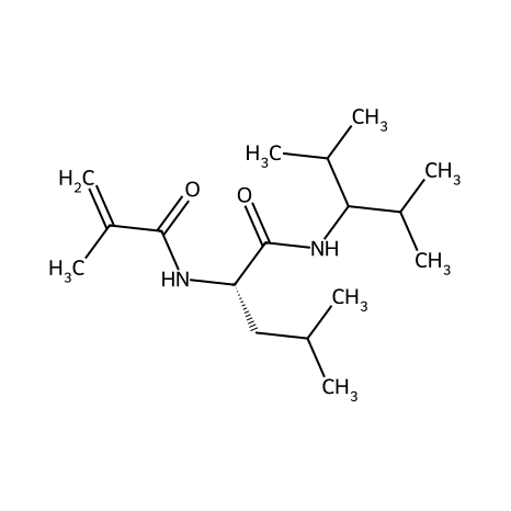 C=C(C)C(=O)N[C@@H](CC(C)C)C(=O)NC(C(C)C)C(C)C